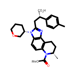 COC(=O)N1c2ccc3c(nc(C[C@H](C(=O)O)c4ccc(C)cc4)n3[C@H]3CCCOC3)c2CC[C@@H]1C